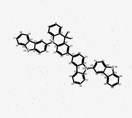 CC1(C)c2ccccc2N(c2ccc3sc4ccccc4c3c2)c2ccc(-c3ccc4c(c3)c3ccccc3n4-c3ccc4sc5ccccc5c4c3)cc21